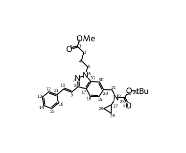 COC(=O)CCCn1nc(C=Cc2ccccc2)c2ccc(CN(C(=O)OC(C)(C)C)C3CC3)cc21